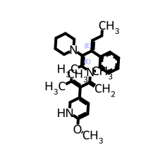 C=C(C(C1=CC=C(OC)NC1)=C(C)C)N(C)/C(C)=C(\C(=C\CC)c1ccccc1)N1CCCCC1